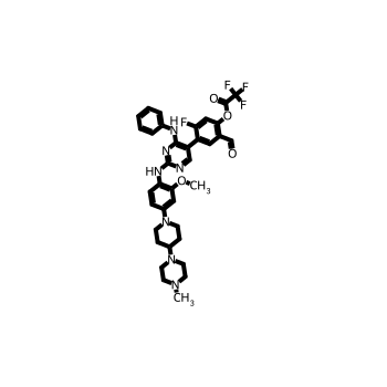 COc1cc(N2CCC(N3CCN(C)CC3)CC2)ccc1Nc1ncc(-c2cc(C=O)c(OC(=O)C(F)(F)F)cc2F)c(Nc2ccccc2)n1